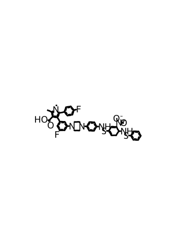 Cc1c(C(=O)O)c(-c2cc(F)cc(N3CCN(c4ccc(NSC5=CCC(NSc6ccccc6)C([N+](=O)[O-])=C5)cc4)CC3)c2)c(-c2ccc(F)cc2)n1C